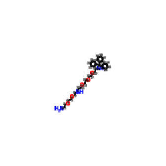 NCCOCCOCCNCCOCCOCCOCCNC(c1ccccc1)(c1ccccc1)c1ccccc1